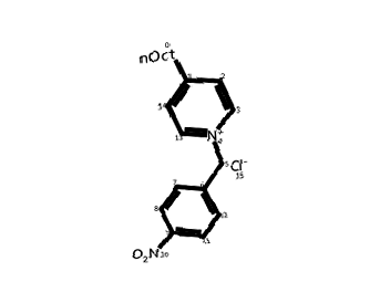 CCCCCCCCc1cc[n+](Cc2ccc([N+](=O)[O-])cc2)cc1.[Cl-]